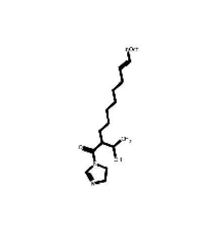 CCCCCCCCC=CCCCCCCC(C(=O)N1C=NCC1)C(C)O